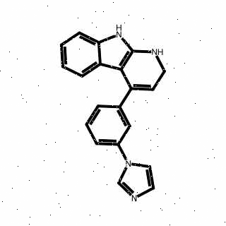 C1=C(c2cccc(-n3ccnc3)c2)c2c([nH]c3ccccc23)NC1